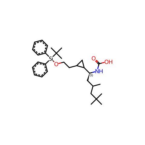 CC(C[C@H](NC(=O)O)C1CC1CCO[Si](c1ccccc1)(c1ccccc1)C(C)(C)C)CC(C)(C)C